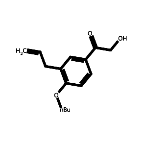 C=CCc1cc(C(=O)CO)ccc1OCCCC